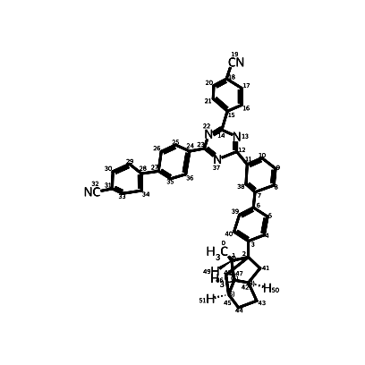 C[C@@H]1C2(c3ccc(-c4cccc(-c5nc(-c6ccc(C#N)cc6)nc(-c6ccc(-c7ccc(C#N)cc7)cc6)n5)c4)cc3)C[C@H]3CC[C@@H](C2)[C@@]31C